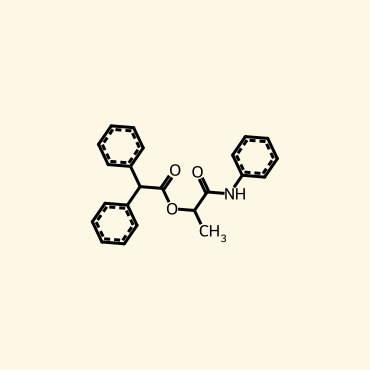 CC(OC(=O)C(c1ccccc1)c1ccccc1)C(=O)Nc1ccccc1